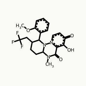 COc1ccccc1C1C(CC(F)(F)F)CCC2N(C)C(=O)c3c(O)c(=O)ccn3N12